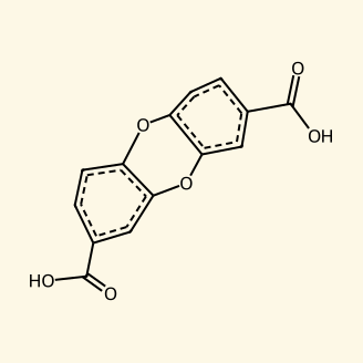 O=C(O)c1ccc2c(c1)Oc1cc(C(=O)O)ccc1O2